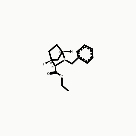 CCOC(=O)[C@H]1[C@@H]2CC[C@@H](C2)N1Cc1ccccc1